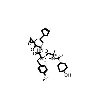 COc1ccc(C[C@H](NC(=O)[C@@H](C)NC(=O)[C@H]2CC[C@H](O)CC2)C(=O)N[C@@H](CCC2CC=CC2)C(=O)[C@@]2(C)CO2)cc1